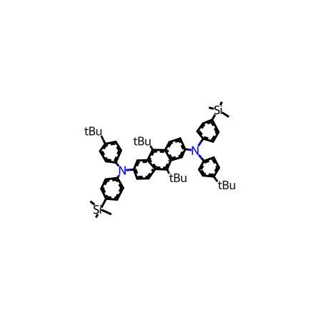 CC(C)(C)c1ccc(N(c2ccc([Si](C)(C)C)cc2)c2ccc3c(C(C)(C)C)c4cc(N(c5ccc(C(C)(C)C)cc5)c5ccc([Si](C)(C)C)cc5)ccc4c(C(C)(C)C)c3c2)cc1